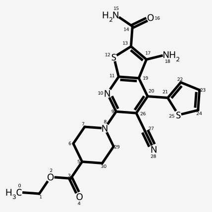 CCOC(=O)C1CCN(c2nc3sc(C(N)=O)c(N)c3c(-c3cccs3)c2C#N)CC1